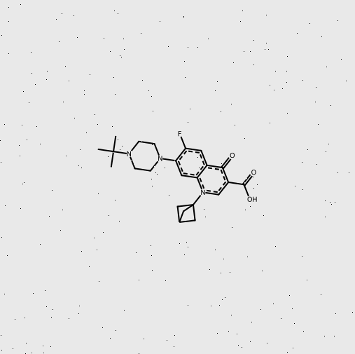 CC(C)(C)N1CCN(c2cc3c(cc2F)c(=O)c(C(=O)O)cn3C23CC(C2)C3)CC1